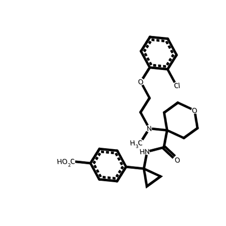 CN(CCOc1ccccc1Cl)C1(C(=O)NC2(c3ccc(C(=O)O)cc3)CC2)CCOCC1